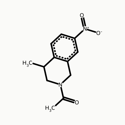 CC(=O)N1Cc2cc([N+](=O)[O-])ccc2C(C)C1